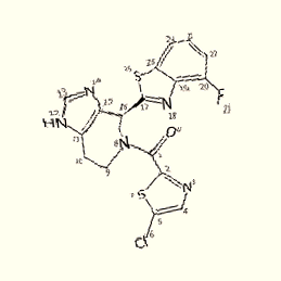 O=C(c1ncc(Cl)s1)N1CCc2[nH]cnc2[C@H]1c1nc2c(F)cccc2s1